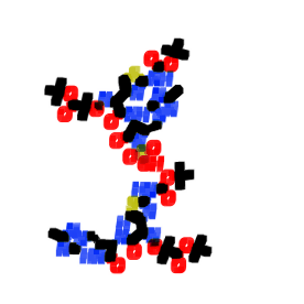 Cc1ncn(C[C@@H]2[C@H](NC(=O)/C(=N\OC(C)(C)C(=O)OC(C)(C)C)c3csc(NC(=O)OC(C)(C)C)n3)C(=O)N2S(=O)(=O)O)n1.Cc1ncn(C[C@H]2NC(=O)[C@H]2NC(=O)/C(=N\OC(C)(C)C(=O)OC(C)(C)C)c2csc(NC(=O)OC(C)(C)C)n2)n1